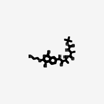 CC(NC(=O)[C@H](C)NC(=O)OC(C)(C)C)C(=O)Nc1ccc2c(Cl)c(OCCBr)oc(=O)c2c1